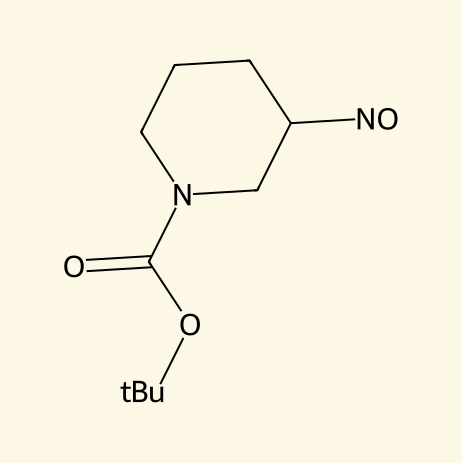 CC(C)(C)OC(=O)N1CCCC(N=O)C1